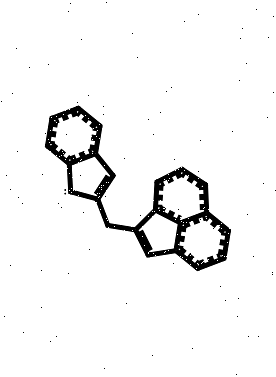 [C]1C(CC2=Cc3cccc4cccc2c34)=Cc2ccccc21